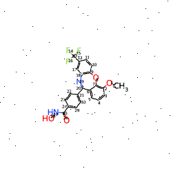 COc1cccc2c1Oc1ccc(C(F)(F)F)cc1N=C2c1ccc(C(=O)NO)cc1